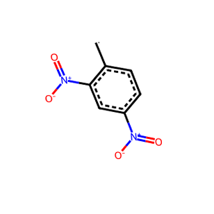 [CH2]c1ccc([N+](=O)[O-])cc1[N+](=O)[O-]